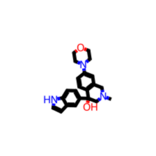 CN1Cc2cc(N3CCOCC3)ccc2C(O)(c2ccc3[nH]ccc3c2)C1